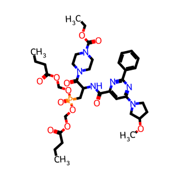 CCCC(=O)OCOP(=O)(CC(NC(=O)c1cc(N2CCC(OC)C2)nc(-c2ccccc2)n1)C(=O)N1CCN(C(=O)OCC)CC1)OCOC(=O)CCC